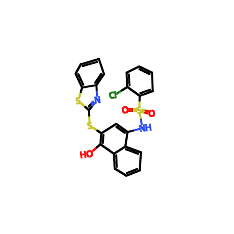 O=S(=O)(Nc1cc(Sc2nc3ccccc3s2)c(O)c2ccccc12)c1ccccc1Cl